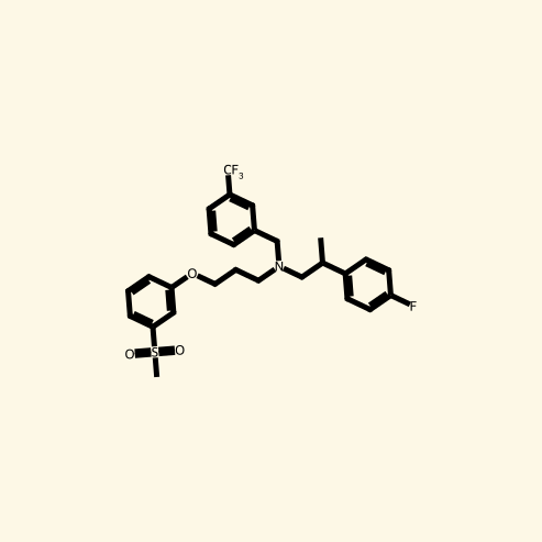 CC(CN(CCCOc1cccc(S(C)(=O)=O)c1)Cc1cccc(C(F)(F)F)c1)c1ccc(F)cc1